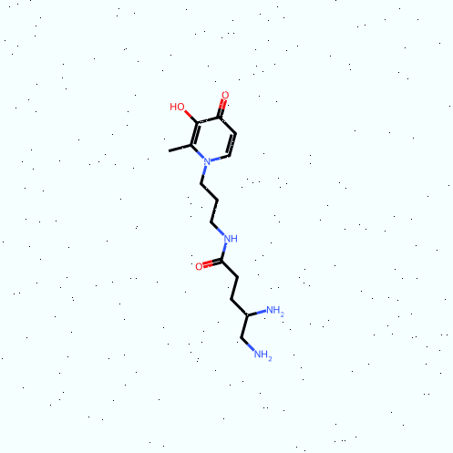 Cc1c(O)c(=O)ccn1CCCNC(=O)CCC(N)CN